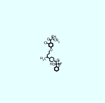 C[C@H](CCCOc1ccc(C(=O)N(C)C)c(Cl)c1)C1CCN(C(=O)C(O)(c2ccccc2)C(F)(F)F)CC1